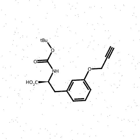 C#CCOc1cccc(C[C@H](NC(=O)OC(C)(C)C)C(=O)O)c1